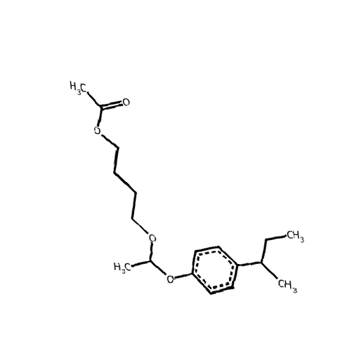 CCC(C)c1ccc(OC(C)OCCCCOC(C)=O)cc1